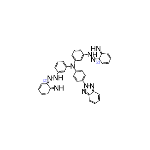 N=C1C=CC=C/C1=N/Nc1cccc(N(c2ccc(-n3nc4ccccc4n3)cc2)c2cccc(N/N=C3/C=CC=CC3=N)c2)c1